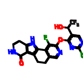 O=C1NCCc2[nH]c3c(c21)CCc1cnc(Oc2nc(Cl)ncc2C(O)C(F)(F)F)c(F)c1-3